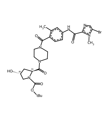 Cc1cc(NC(=O)c2ncc(Br)n2C)ccc1C(=O)N1CCN(C(=O)[C@@H]2C[C@@H](O)CN2C(=O)OC(C)(C)C)CC1